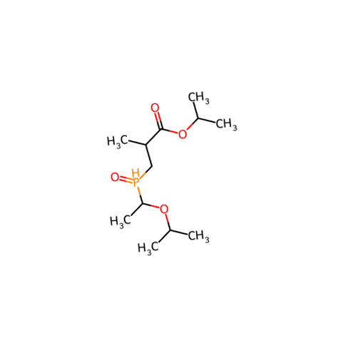 CC(C)OC(=O)C(C)C[PH](=O)C(C)OC(C)C